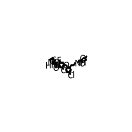 CC(C)OC(=O)CNCCCc1cc(Cl)ccc1Oc1cc(F)c(S(=O)(=O)Nc2nccs2)cc1Cl